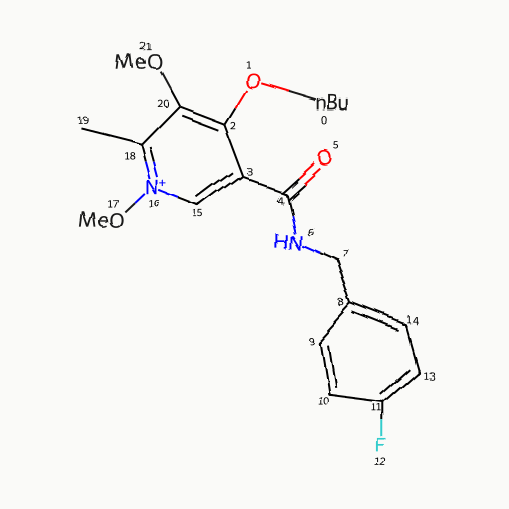 CCCCOc1c(C(=O)NCc2ccc(F)cc2)c[n+](OC)c(C)c1OC